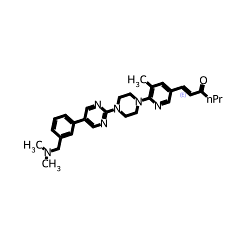 CCCC(=O)/C=C/c1cnc(N2CCN(c3ncc(-c4cccc(CN(C)C)c4)cn3)CC2)c(C)c1